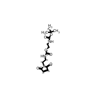 CC(C)(C)OC(=O)NCCOC(=O)NCCN1C(=O)C=CC1=O